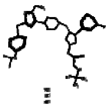 CCn1nc(Cc2ccc(OC(F)F)cc2)cc1C1CCN(C[C@H]2C[C@H](OC(=O)CNC(C)(C)C)C[C@@H]2c2cccc(F)c2)CC1.Cl.Cl.Cl